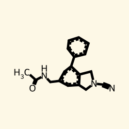 CC(=O)NCc1cc2c(c(-c3ccccc3)c1)CN(C#N)C2